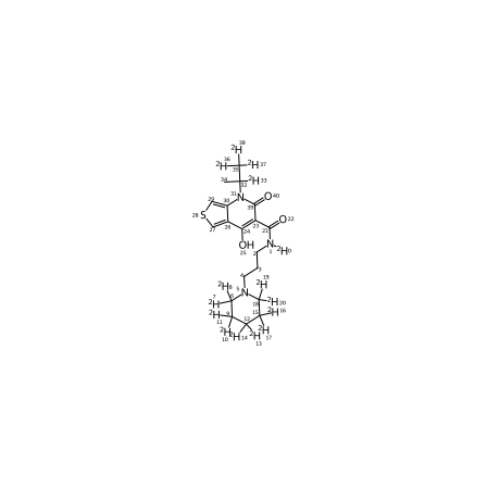 [2H]N(CCCN1C([2H])([2H])C([2H])([2H])C([2H])([2H])C([2H])([2H])C1([2H])[2H])C(=O)c1c(O)c2cscc2n(C([2H])(C)C([2H])([2H])[2H])c1=O